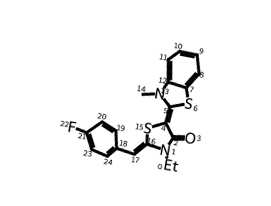 CCn1c(=O)/c(=C2\Sc3ccccc3N2C)s/c1=C\c1ccc(F)cc1